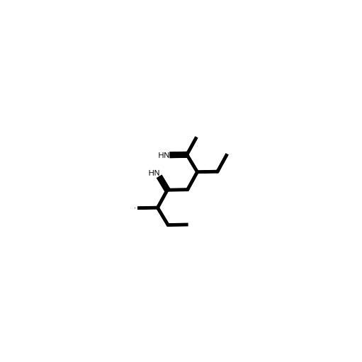 [CH2]C(CC)C(=N)CC(CC)C(C)=N